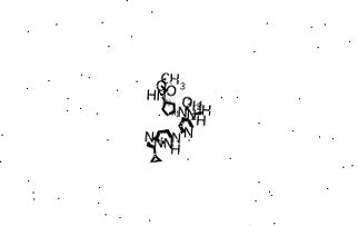 [2H]C([2H])([2H])n1c(=O)n([C@@H]2CC[C@@H](NC(=O)OC)C2)c2cc(Nc3ccc4ncc(C5CC5)n4n3)ncc21